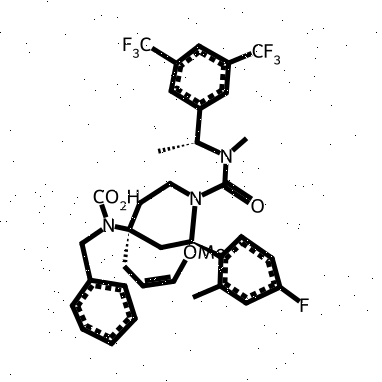 CO/C=C\C[C@]1(N(Cc2ccccc2)C(=O)O)CCN(C(=O)N(C)[C@H](C)c2cc(C(F)(F)F)cc(C(F)(F)F)c2)[C@@H](c2ccc(F)cc2C)C1